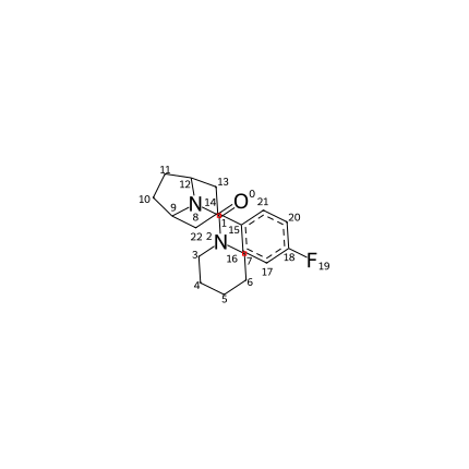 O=C(N1CCCCC1)N1C2CCC1CC(c1ccc(F)cc1)C2